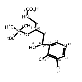 CC(C)(C)[Si](C)(C)O[C@@H](CNC(=O)O)C[C@H](O)c1cncc(Cl)c1Cl